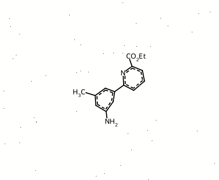 CCOC(=O)c1cccc(-c2cc(C)cc(N)c2)n1